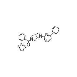 O=C(c1ccccc1-n1nccn1)N1CC2CN(c3nccc(-c4ccccc4)n3)C2C1